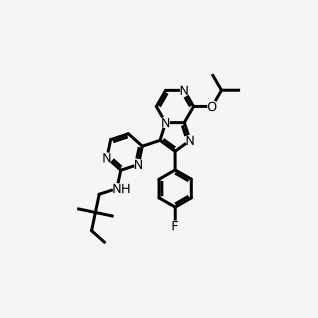 CCC(C)(C)CNc1nccc(-c2c(-c3ccc(F)cc3)nc3c(OC(C)C)nccn23)n1